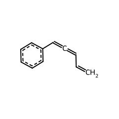 C=CC=C=Cc1ccccc1